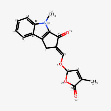 CC1=CC(OC=C2Cc3c(n(C)c4ccccc34)C2=O)OC1=O